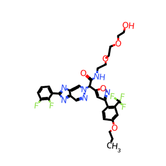 CCCOc1ccc(-c2cc(C(C(=O)NCCOCCOCCO)n3cc4nc(-c5cccc(F)c5F)nc-4cn3)on2)c(C(F)(F)F)c1